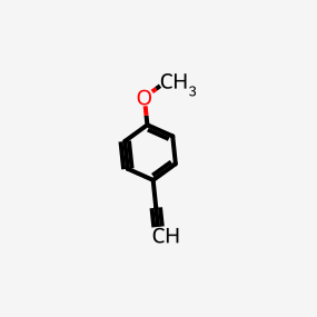 C#Cc1c#cc(OC)cc1